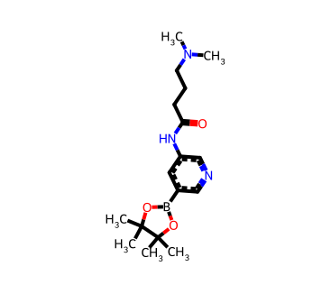 CN(C)CCCC(=O)Nc1cncc(B2OC(C)(C)C(C)(C)O2)c1